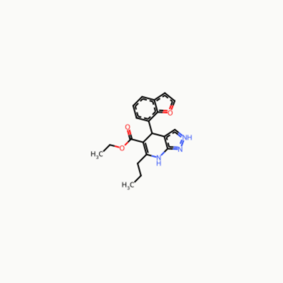 CCCC1=C(C(=O)OCC)C(c2cccc3ccoc23)c2c[nH]nc2N1